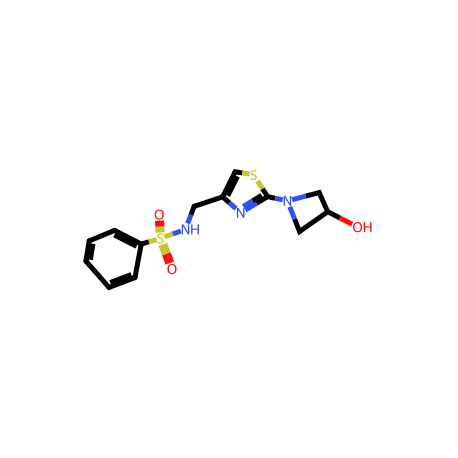 O=S(=O)(NCc1csc(N2CC(O)C2)n1)c1ccccc1